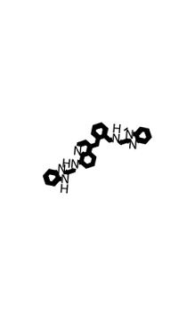 Cn1c(CNCc2ccccc2Cc2ccnc3c2CCCC3NCc2nc3ccccc3[nH]2)nc2ccccc21